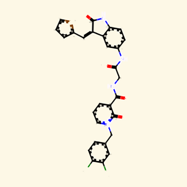 O=C(CNC(=O)c1cccn(Cc2ccc(F)c(F)c2)c1=O)Nc1ccc2c(c1)C(=Cc1cccs1)C(=O)N2